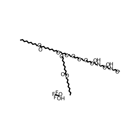 CCCCCCCCCOC(=O)CCCCCCCOCC(COCCOCCOCCOCCOC(=O)CNCCOC(=O)CNCCOC)OCCCCCCCC(=O)OCCCCCCCCC.O=C(O)C(F)(F)F